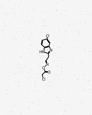 O=C(CCl)ON=CCc1nc2cc(Cl)ccc2[nH]1